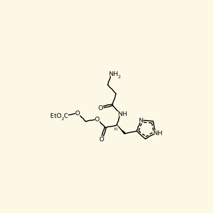 CCOC(=O)OCOC(=O)[C@H](Cc1c[nH]cn1)NC(=O)CCN